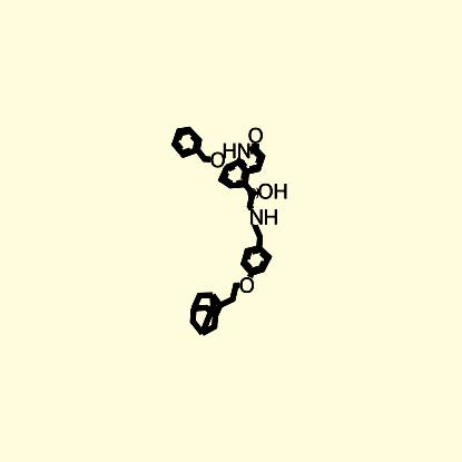 O=c1ccc2c([C@@H](O)CNCCc3ccc(OCCC4C5CC6CC(C5)CC4C6)cc3)ccc(OCc3ccccc3)c2[nH]1